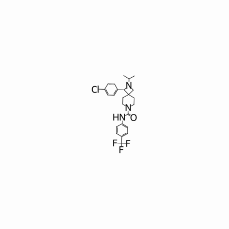 CC(C)N1CC2(CCN(C(=O)Nc3ccc(C(F)(F)F)cc3)CC2)C1c1ccc(Cl)cc1